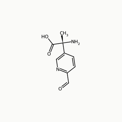 C[C@](N)(C(=O)O)c1ccc(C=O)nc1